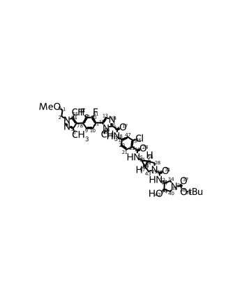 COCCn1nc(C)c(-c2ccc(-c3cnc(C(=O)Nc4ccc(C(=O)NC5[C@H]6CN(C(=O)N[C@@H]7CN(C(=O)OC(C)(C)C)C[C@H]7O)C[C@@H]56)c(Cl)c4)n3C)c(F)c2F)c1C